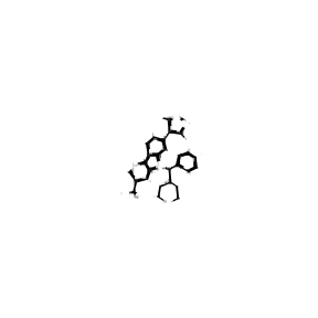 Cc1noc(C)c1-c1ccc2c3ncc(C(=O)O)cc3n(C(c3ccccc3)C3CCOCC3)c2c1